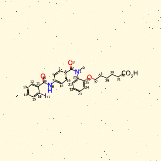 CN(C(=O)c1ccc(NC(=O)c2ccccc2I)cc1)c1ccccc1OCCCCCC(=O)O